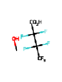 CO.O=C(O)C(F)(F)C(F)(F)C(F)(F)F